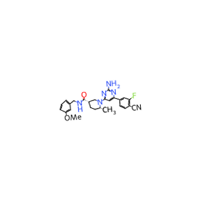 COc1cccc(CNC(=O)[C@H]2CC[C@@H](C)N(c3cc(-c4ccc(C#N)c(F)c4)nc(N)n3)C2)c1